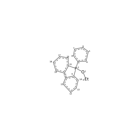 CCO[P](c1ccccc1)(c1ccccc1)c1ccccc1